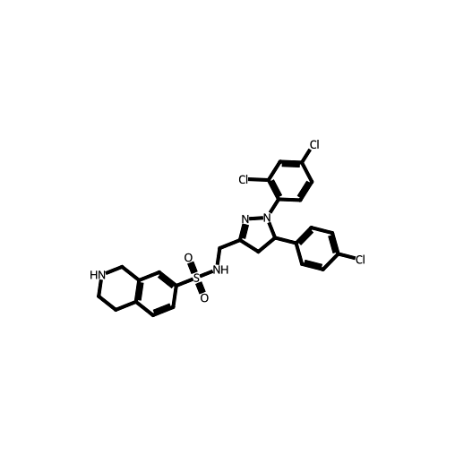 O=S(=O)(NCC1=NN(c2ccc(Cl)cc2Cl)C(c2ccc(Cl)cc2)C1)c1ccc2c(c1)CNCC2